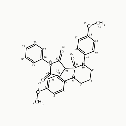 COc1ccc(N2CCCN(c3ccc(OC)cc3)P2(=O)C2CC(=O)N(c3ccccc3)C2=O)cc1